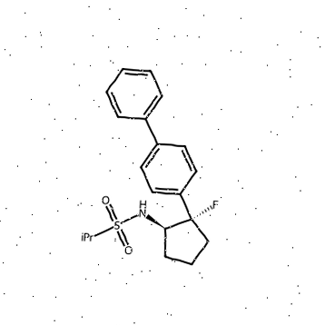 CC(C)S(=O)(=O)N[C@@H]1CCC[C@]1(F)c1ccc(-c2ccccc2)cc1